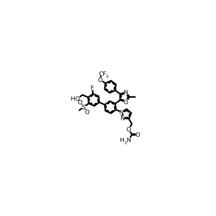 Cc1nc(-c2ccc(OC(F)(F)F)cc2)c(-c2cc(-c3cc(F)c(CO)c(S(C)(=O)=O)c3)ccc2-n2ccc(COC(N)=O)n2)o1